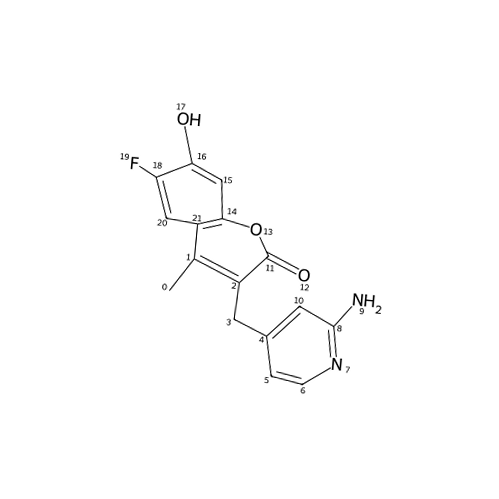 Cc1c(Cc2ccnc(N)c2)c(=O)oc2cc(O)c(F)cc12